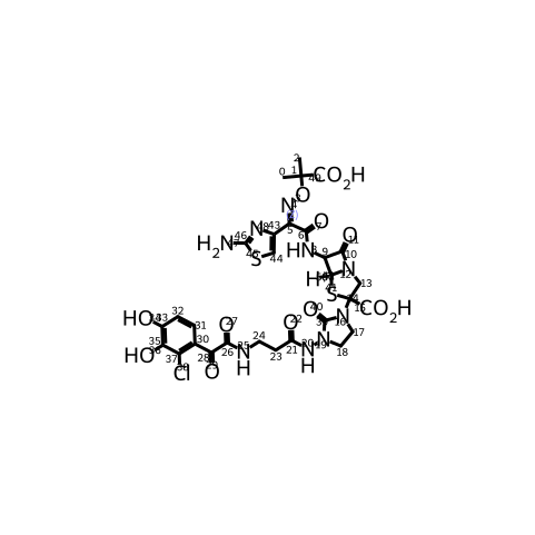 CC(C)(O/N=C(\C(=O)NC1C(=O)N2CC(C(=O)O)(N3CCN(NC(=O)CCNC(=O)C(=O)c4ccc(O)c(O)c4Cl)C3=O)S[C@H]12)c1csc(N)n1)C(=O)O